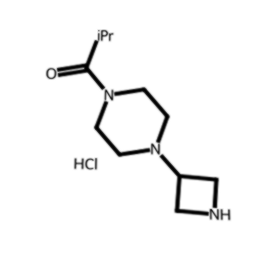 CC(C)C(=O)N1CCN(C2CNC2)CC1.Cl